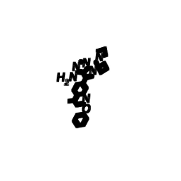 Cc1cc(Oc2ccccc2)nc2cc(-c3cn(C4(CN5CCC5)CCC4)c4ncnc(N)c34)ccc12